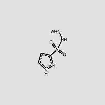 CNNS(=O)(=O)c1cc[nH]n1